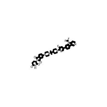 CC(C)(C1CCN(c2ncc(-c3ccc4c5cnccc5n(C(F)F)c4c3)cc2F)CC1)N1CCN(c2ccc3c(c2)C(=O)N(C2CCC(=O)NC2=O)C3=O)CC1